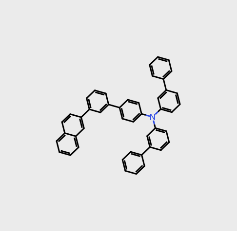 c1ccc(-c2cccc(N(c3ccc(-c4cccc(-c5ccc6ccccc6c5)c4)cc3)c3cccc(-c4ccccc4)c3)c2)cc1